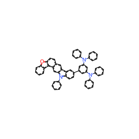 c1ccc(N(c2ccccc2)c2cc(-c3ccc4c(c3)c3cc5ccc6oc7ccccc7c6c5cc3n4-c3ccccc3)cc(N(c3ccccc3)c3ccccc3)c2)cc1